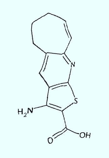 Nc1c(C(=O)O)sc2nc3c(cc12)CCCC=C3